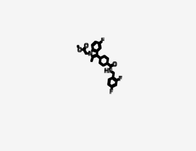 COC(=O)Cn1c(C)c(C2CCC(C(=O)NCc3ccc(F)cc3F)CC2)c2cc(F)ccc21